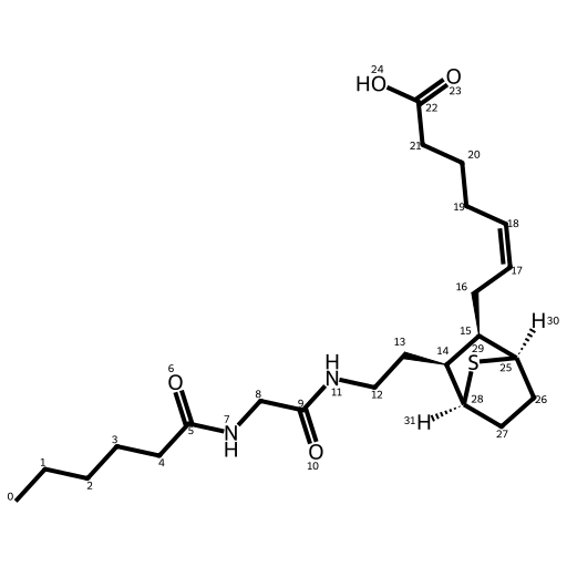 CCCCCC(=O)NCC(=O)NCC[C@H]1[C@@H](C/C=C\CCCC(=O)O)[C@H]2CC[C@@H]1S2